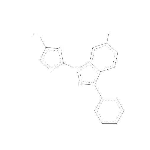 O=C(O)c1csc(-n2nc(-c3ccccc3)c3ccc(I)cc32)n1